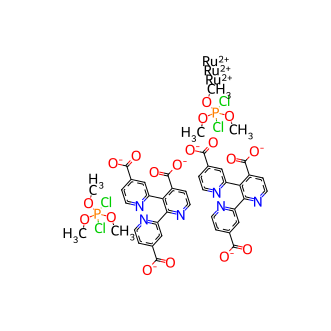 COP(Cl)(Cl)(OC)OC.COP(Cl)(Cl)(OC)OC.O=C([O-])c1ccnc(-c2nccc(C(=O)[O-])c2-c2cc(C(=O)[O-])ccn2)c1.O=C([O-])c1ccnc(-c2nccc(C(=O)[O-])c2-c2cc(C(=O)[O-])ccn2)c1.[Ru+2].[Ru+2].[Ru+2]